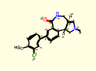 COc1ccc(-c2ccc3c(c2)C(=O)NC[C@H]2CN(C)C[C@H]32)cc1Cl